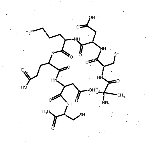 CC(C)(N)C(=O)NC(CS)C(=O)NC(CC(=O)O)C(=O)NC(CCCN)C(=O)NC(CCC(=O)O)C(=O)NC(CC(=O)O)C(=O)NC(CS)C(N)=O